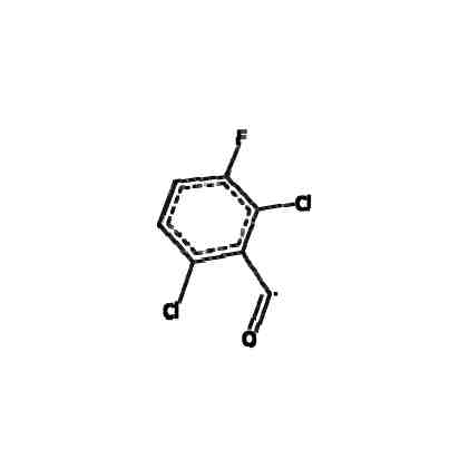 O=[C]c1c(Cl)ccc(F)c1Cl